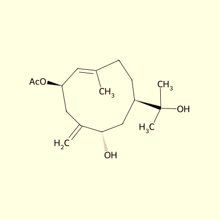 C=C1C[C@@H](OC(C)=O)/C=C(\C)CC[C@@H](C(C)(C)O)C[C@@H]1O